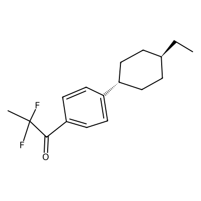 CC[C@H]1CC[C@H](c2ccc(C(=O)C(C)(F)F)cc2)CC1